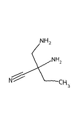 CCC(N)(C#N)CN